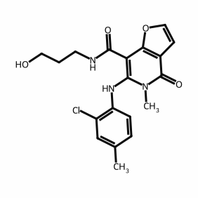 Cc1ccc(Nc2c(C(=O)NCCCO)c3occc3c(=O)n2C)c(Cl)c1